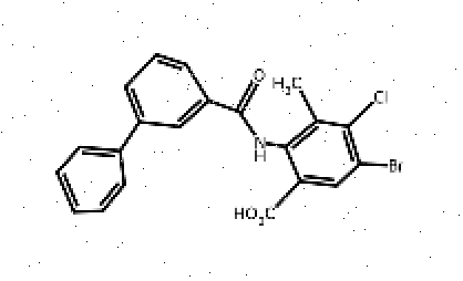 Cc1c(Cl)c(Br)cc(C(=O)O)c1NC(=O)c1cccc(-c2ccccc2)c1